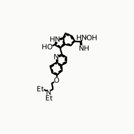 CCN(CC)CCOc1ccc2nc(-c3c(O)[nH]c4ccc(C(=N)NO)cc34)ccc2c1